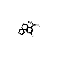 CN(C)c1cc(Cl)nc2c1CCOC21CCOC1